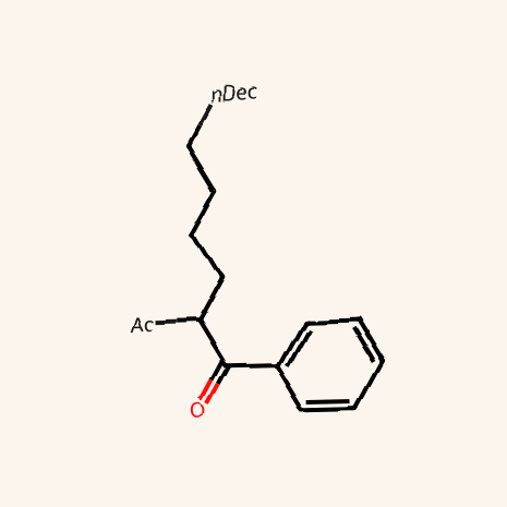 CCCCCCCCCCCCCCC(C(C)=O)C(=O)c1ccccc1